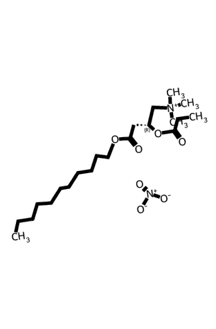 CCCCCCCCCCCOC(=O)C[C@H](C[N+](C)(C)C)OC(=O)CC.O=[N+]([O-])[O-]